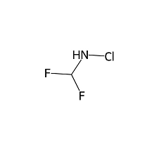 FC(F)NCl